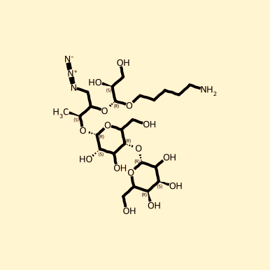 C[C@H](O[C@@H]1OC(CO)[C@H](O[C@H]2OC(CO)[C@H](O)[C@H](O)C2O)C(O)[C@@H]1O)C(CN=[N+]=[N-])O[C@@H](OCCCCCN)[C@@H](O)CO